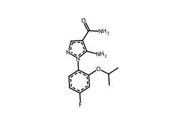 CC(C)Oc1cc(F)ccc1-n1ncc(C(N)=O)c1N